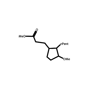 CCCCCC1C(CCC(=O)OC)CCC1OC